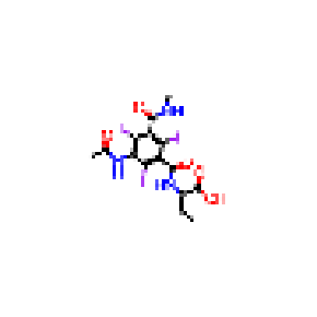 CCC(NC(=O)c1c(I)c(NC(C)=O)c(I)c(C(=O)NC)c1I)C(=O)O